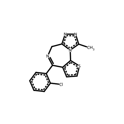 Cc1nnc2n1-c1sccc1C(c1ccccc1Cl)=NC2